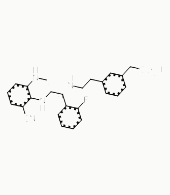 N#Cc1cccc2c1N[C@@H]([C@H](NCCc1cccc(CC(=O)O)c1)c1ccccc1F)CN2